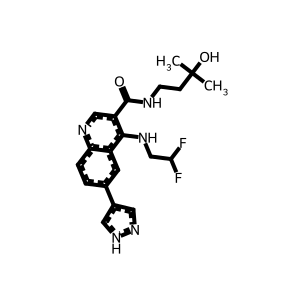 CC(C)(O)CCNC(=O)c1cnc2ccc(-c3cn[nH]c3)cc2c1NCC(F)F